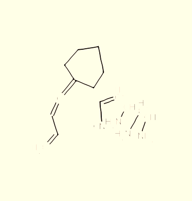 C=CC#N.C=CC=C=C1CCCCC1.CN.CN.CN